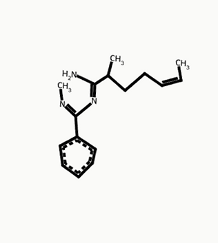 C/C=C\CCC(C)/C(N)=N/C(=N\C)c1ccccc1